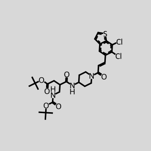 CC(C)(C)OC(=O)CC(CNC(=O)OC(C)(C)C)C(=O)NC1CCN(C(=O)C=Cc2cc3ccsc3c(Cl)c2Cl)CC1